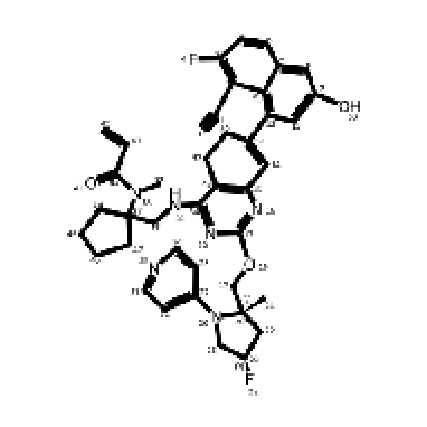 C#Cc1c(F)ccc2cc(O)cc(C3=Cc4nc(OC[C@]5(C)C[C@@H](F)CN5c5ccncc5)nc(NCC5(N(C)C(=O)C=C)CCCC5)c4CC3)c12